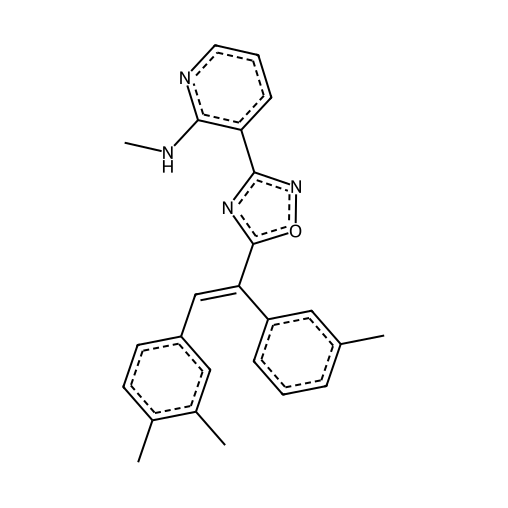 CNc1ncccc1-c1noc(C(=Cc2ccc(C)c(C)c2)c2cccc(C)c2)n1